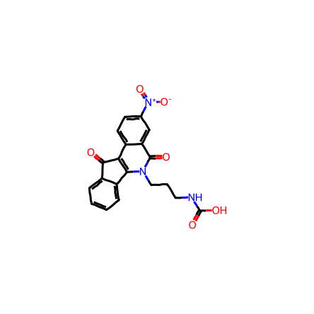 O=C(O)NCCCn1c2c(c3ccc([N+](=O)[O-])cc3c1=O)C(=O)c1ccccc1-2